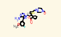 COc1cc(F)cc(-c2nn(C(C)c3oc(=O)c4ccccc4c3-c3ccc(CN4CCN(C=O)CC4)s3)c3ncnc(N)c23)c1